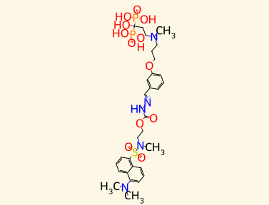 CN(CCCOc1cccc(/C=N/NC(=O)OCCN(C)S(=O)(=O)c2cccc3c(N(C)C)cccc23)c1)CCC(O)(P(=O)(O)O)P(=O)(O)O